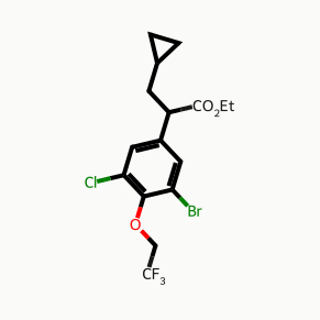 CCOC(=O)C(CC1CC1)c1cc(Cl)c(OCC(F)(F)F)c(Br)c1